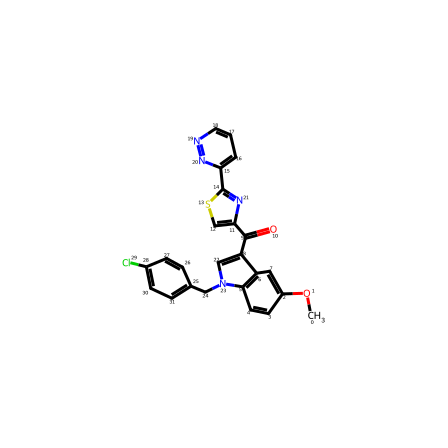 COc1ccc2c(c1)c(C(=O)c1csc(-c3cccnn3)n1)cn2Cc1ccc(Cl)cc1